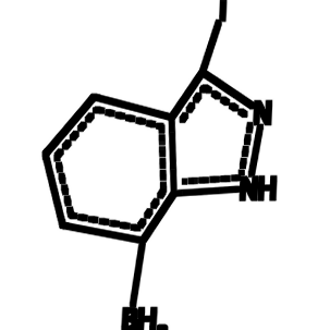 Bc1cccc2c(I)n[nH]c12